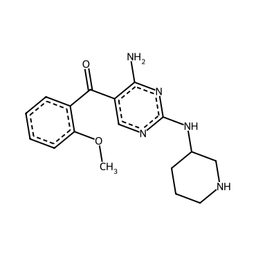 COc1ccccc1C(=O)c1cnc(NC2CCCNC2)nc1N